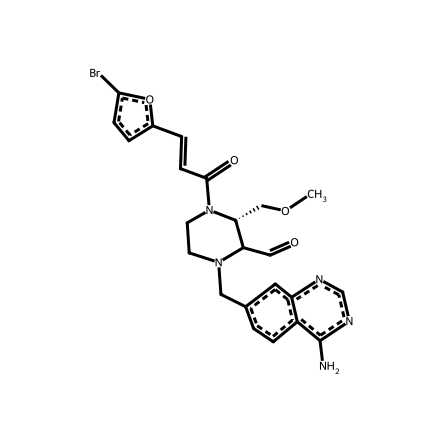 COC[C@@H]1C(C=O)N(Cc2ccc3c(N)ncnc3c2)CCN1C(=O)C=Cc1ccc(Br)o1